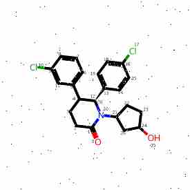 O=C1CCC(c2cccc(Cl)c2)[C@@H](c2ccc(Cl)cc2)N1C1CCC(O)C1